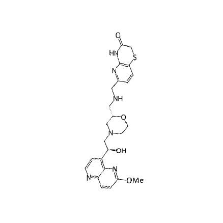 COc1ccc2nccc([C@H](O)CN3CCO[C@@H](CNCc4ccc5c(n4)NC(=O)CS5)C3)c2n1